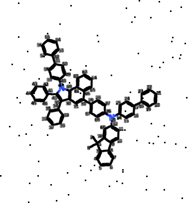 CC1(C)c2ccccc2-c2ccc(N(c3ccc(-c4ccccc4)cc3)c3ccc(-c4cc5c(-c6ccccc6)c(-c6ccccc6)n(-c6ccc(-c7ccccc7)cc6)c5c5ccccc45)cc3)cc21